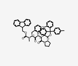 Cc1ccc(C(OC(=O)C[C@H](NC(=O)[C@H](Cc2ccccc2)N(C)C(=O)OCC2c3ccccc3-c3ccccc32)C(=O)N2CCCC2)(c2ccccc2)c2ccccc2Cl)cc1